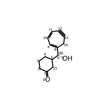 O=C1CCCC([C@@H](O)C2=CC=CC#CC2)C1